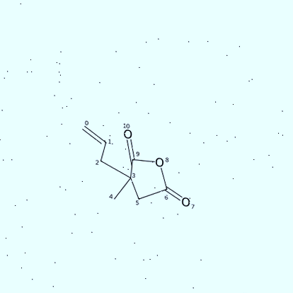 C=CCC1(C)CC(=O)OC1=O